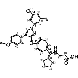 COc1ccc(-c2cn(-c3cc(C)cc(Cl)c3)nc2OC2=CCC=C(C(NCCC(=O)O)=C3CCCC3)C=C2)cc1